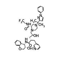 CC(C)(c1ccn(-c2ccccc2)n1)N1CCN(C[C@@H](O)C[C@H](Cc2cccnc2)C(=O)N[C@H]2c3ccccc3OC[C@H]2O)[C@H](C(=O)NCC(F)(F)F)C1